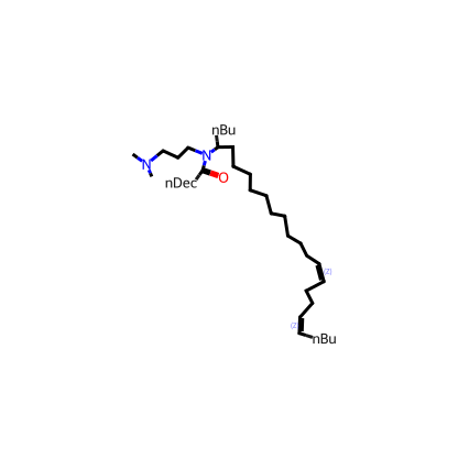 CCCC/C=C\CC/C=C\CCCCCCCCCCC(CCCC)N(CCCN(C)C)C(=O)CCCCCCCCCC